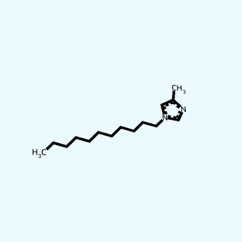 CCCCCCCCCCCn1cnc(C)c1